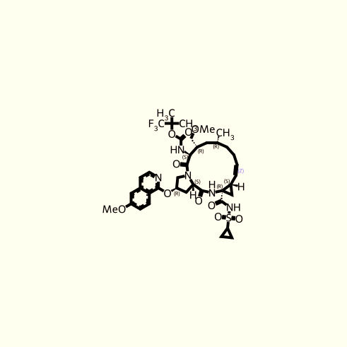 COC[C@@H]1C[C@H](C)CC/C=C\[C@@H]2C[C@@]2(C(=O)NS(=O)(=O)C2CC2)NC(=O)[C@@H]2C[C@@H](Oc3nccc4cc(OC)ccc34)CN2C(=O)[C@H]1NC(=O)OC(C)(C)C(F)(F)F